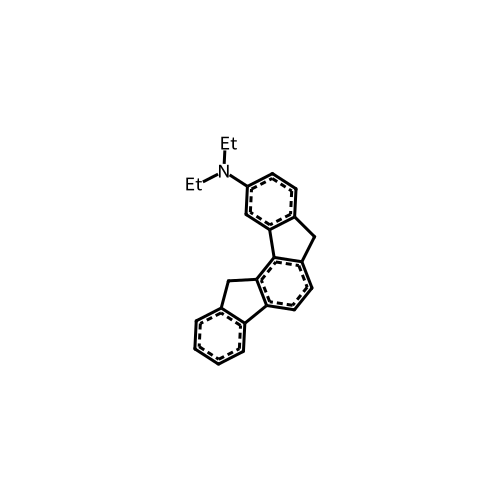 CCN(CC)c1ccc2c(c1)-c1c(ccc3c1Cc1ccccc1-3)C2